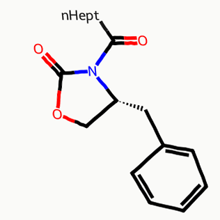 CCCCCCCC(=O)N1C(=O)OC[C@H]1Cc1ccccc1